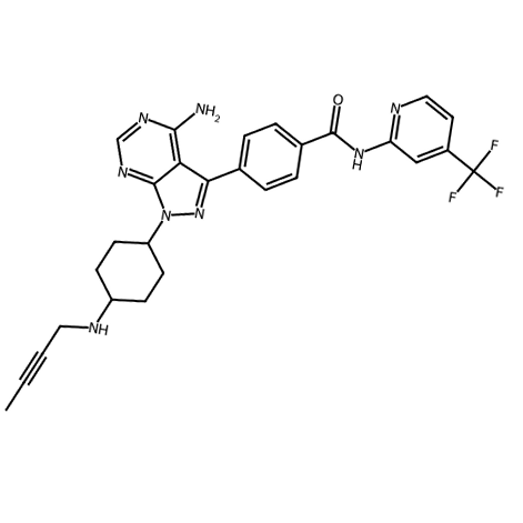 CC#CCNC1CCC(n2nc(-c3ccc(C(=O)Nc4cc(C(F)(F)F)ccn4)cc3)c3c(N)ncnc32)CC1